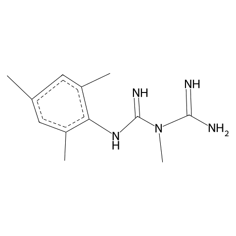 Cc1cc(C)c(NC(=N)N(C)C(=N)N)c(C)c1